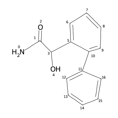 NC(=O)C(O)c1ccccc1-c1ccccc1